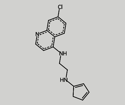 Clc1ccc2c(NCCNC3=CC=CC3)ccnc2c1